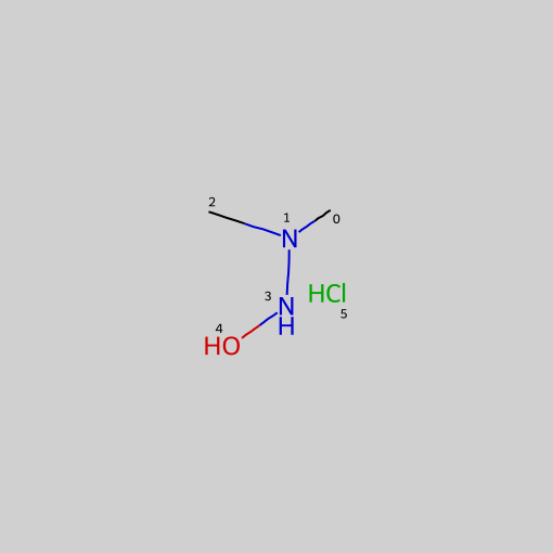 CN(C)NO.Cl